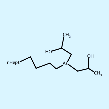 CCCCCCCCCCC[As](CC(C)O)CC(C)O